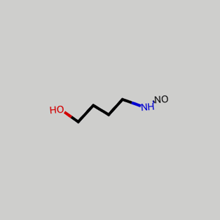 O=NNCCCCO